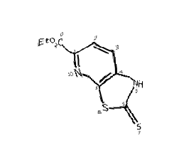 CCOC(=O)c1ccc2[nH]c(=S)sc2n1